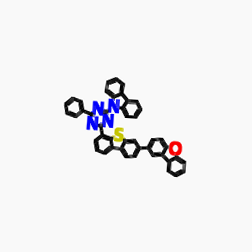 c1ccc(-c2nc(-c3cccc4c3sc3cc(-c5ccc6oc7ccccc7c6c5)ccc34)nc(-n3c4ccccc4c4ccccc43)n2)cc1